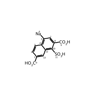 O=C(O)c1ccc2[c]([Na])cc(C(=O)O)c(S(=O)(=O)O)c2c1